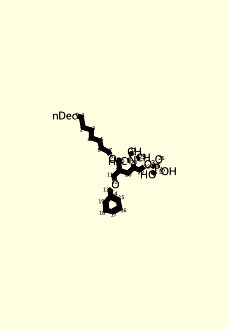 CCCCCCCCCCCCCCCCCOCC(COCc1ccccc1)CC(COP(=O)(O)O)[N+](C)(C)C